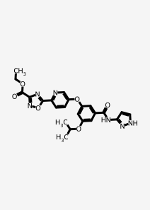 CCOC(=O)c1noc(-c2ccc(Oc3cc(OC(C)C)cc(C(=O)Nc4cc[nH]n4)c3)cn2)n1